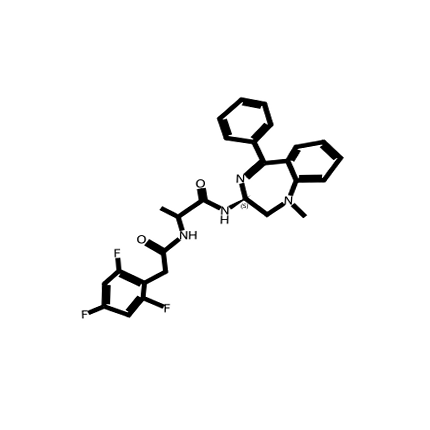 CC(NC(=O)Cc1c(F)cc(F)cc1F)C(=O)N[C@@H]1CN(C)c2ccccc2C(c2ccccc2)=N1